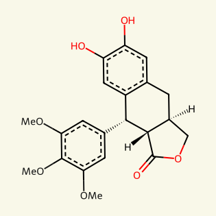 COc1cc([C@@H]2c3cc(O)c(O)cc3C[C@H]3COC(=O)[C@@H]32)cc(OC)c1OC